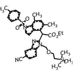 CCOC(=O)C(c1c(C)cc(C)c2c1ccn2S(=O)(=O)c1ccc(C)cc1)c1nc2cc(C#N)ccc2n1COCC[Si](C)(C)C